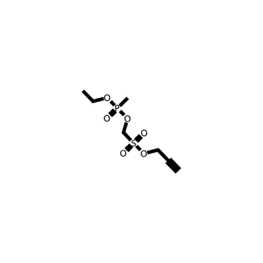 C#CCOS(=O)(=O)COP(C)(=O)OCC